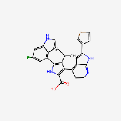 CC(C)c1c(-c2cc(F)cc3[nH]ccc23)[nH]c(C(=O)O)c1-c1ccnc2[nH]c(-c3ccsc3)cc12